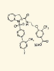 COC(=O)c1ccc(OCCNC(=O)[C@@H]2Cc3ccccc3N2S(=O)(=O)c2ccc(-c3ccc(F)cc3C)cc2)c(C(F)(F)F)c1